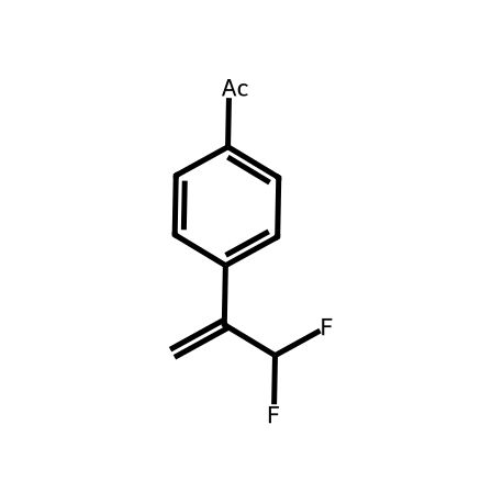 C=C(c1ccc(C(C)=O)cc1)C(F)F